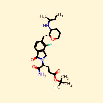 CCC(C)N[C@H]1CCCO[C@@H]1Cc1ccc2c(c1F)CN([C@@H](CCC(=O)OC(C)(C)C)C(N)=O)C2=O